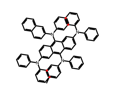 Cc1ccc(N(c2ccccc2)c2c3ccc(N(c4ccccc4)c4ccccc4)cc3c(N(c3ccccc3)c3ccc4ccccc4c3)c3ccc(N(c4ccccc4)c4ccccc4)cc23)cc1